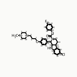 CN1CCN(CCCOc2ccc(C3C4Nc5ccc(Cl)cc5C4CCN3C(=O)Oc3ccc(F)cc3)cc2)CC1